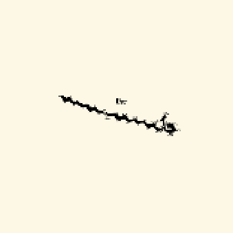 CCCCCCCCCCSCCCCCCCCCCC[n+]1cccn1CC.[Br-]